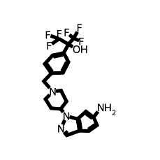 Nc1ccc2cnn(C3CCN(Cc4ccc(C(O)(C(F)(F)F)C(F)(F)F)cc4)CC3)c2c1